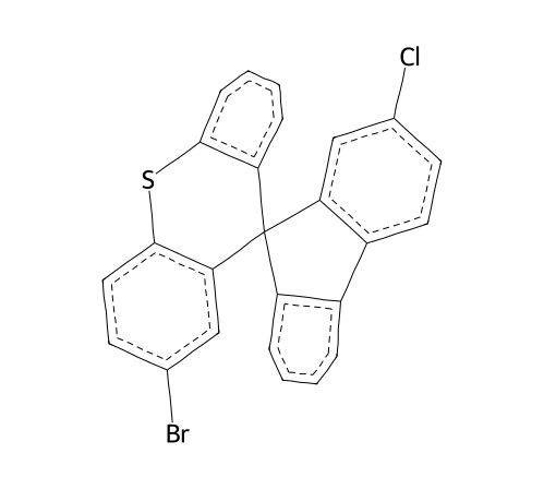 Clc1ccc2c(c1)C1(c3ccccc3Sc3ccc(Br)cc31)c1ccccc1-2